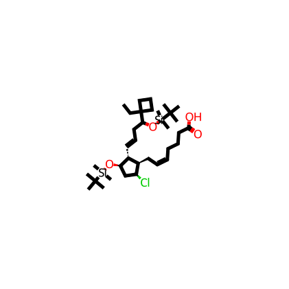 CCC1(C(C/C=C/[C@@H]2[C@@H](C/C=C\CCCC(=O)O)[C@@H](Cl)C[C@H]2O[Si](C)(C)C(C)(C)C)O[Si](C)(C)C(C)(C)C)CCC1